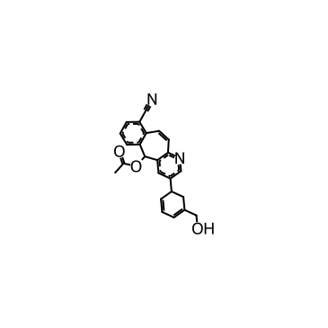 CC(=O)OC1c2cc(C3C=CC=C(CO)C3)cnc2C=Cc2c(C#N)cccc21